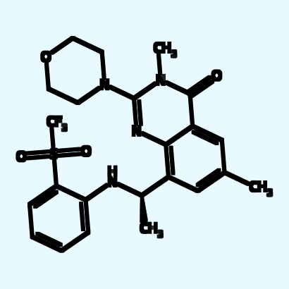 Cc1cc([C@@H](C)Nc2ccccc2S(=O)(=O)C(F)(F)F)c2nc(N3CCOCC3)n(C)c(=O)c2c1